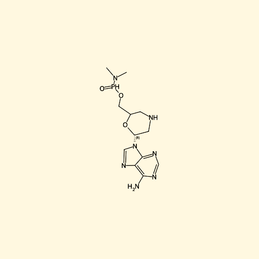 CN(C)[PH](=O)OCC1CNC[C@H](n2cnc3c(N)ncnc32)O1